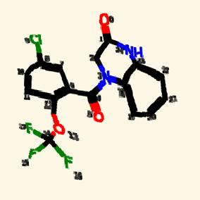 O=C1CN(C(=O)c2cc(Cl)ccc2OC(F)(F)F)c2ccccc2N1